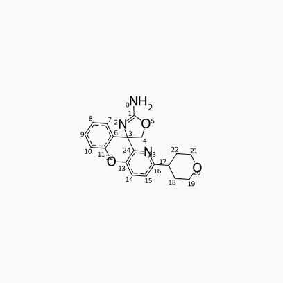 NC1=NC2(CO1)c1ccccc1Oc1ccc(C3CCOCC3)nc12